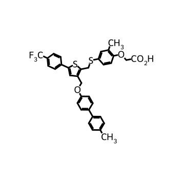 Cc1ccc(-c2ccc(OCc3cc(-c4ccc(C(F)(F)F)cc4)sc3CSc3ccc(OCC(=O)O)c(C)c3)cc2)cc1